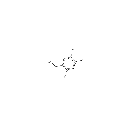 CBCc1cc(F)c(F)cc1F